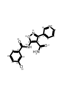 NC(=O)c1c(-c2cccnc2)noc1NC(=O)c1cccc(Cl)c1